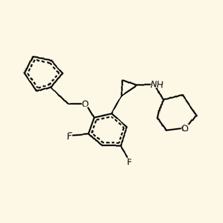 Fc1cc(F)c(OCc2ccccc2)c(C2CC2NC2CCOCC2)c1